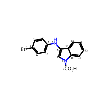 [CH2]Cc1ccc(Nc2cn(C(=O)O)c3ccccc23)cc1